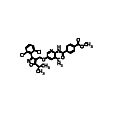 COC(=O)c1ccc(C(=O)Nc2ncc(OCc3c(-c4c(Cl)cccc4Cl)noc3C(C)C)cc2C)cc1